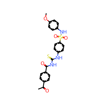 COc1ccc(NS(=O)(=O)c2ccc(NC(=S)NC(=O)c3ccc(C(C)=O)cc3)cc2)cc1